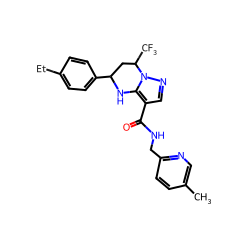 CCc1ccc(C2CC(C(F)(F)F)n3ncc(C(=O)NCc4ccc(C)cn4)c3N2)cc1